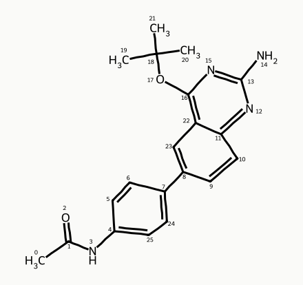 CC(=O)Nc1ccc(-c2ccc3nc(N)nc(OC(C)(C)C)c3c2)cc1